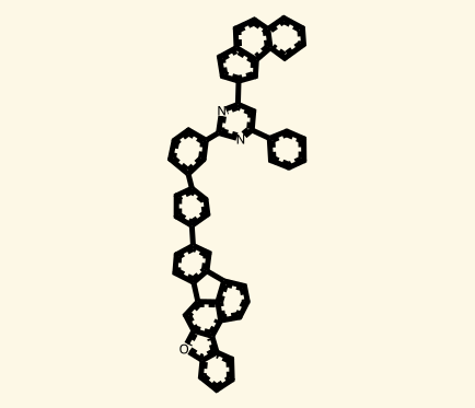 c1ccc(-c2cc(-c3ccc4ccc5ccccc5c4c3)nc(-c3cccc(-c4ccc(-c5ccc6c(c5)-c5cccc7c5c-6cc5oc6ccccc6c57)cc4)c3)n2)cc1